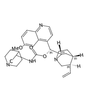 C=C[C@H]1CN2CC[C@H]1C[C@H]2[C@H](OC(=O)NC1CN2CCC1CC2)c1ccnc2ccc(OC)cc12